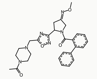 CON=C1CC(c2noc(CN3CCN(C(C)=O)CC3)n2)N(C(=O)c2ccccc2-c2ccccc2)C1